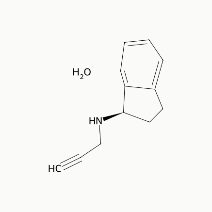 C#CCN[C@@H]1CCc2ccccc21.O